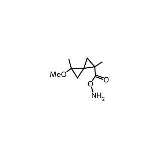 COC1(C)CC12CC2(C)C(=O)ON